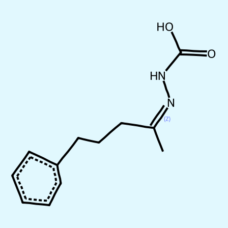 C/C(CCCc1ccccc1)=N/NC(=O)O